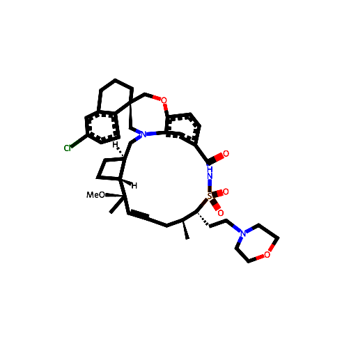 CO[C@]1(C)/C=C/C[C@H](C)[C@@H](CCN2CCOCC2)S(=O)(=O)NC(=O)c2ccc3c(c2)N(C[C@@H]2CC[C@H]21)C[C@@]1(CCCc2cc(Cl)ccc21)CO3